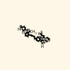 Cc1nn(C2CCC(=O)NC2=O)c2cccc(C#CCC=C3CCC([C@]4(n5nc(C(F)F)cc5N5CCOCC5)C=NNC4)CC3)c12